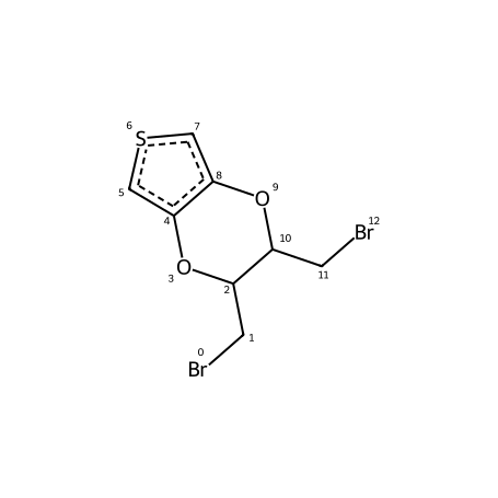 BrCC1Oc2cscc2OC1CBr